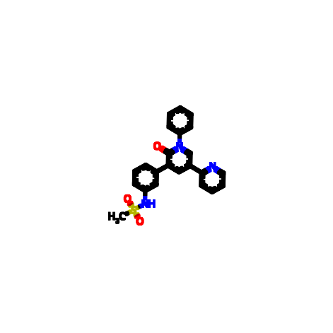 CS(=O)(=O)Nc1cccc(-c2cc(-c3ccccn3)cn(-c3ccccc3)c2=O)c1